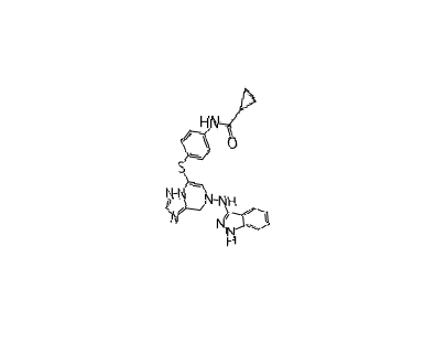 O=C(Nc1ccc(SC2=CN(Nc3n[nH]c4ccccc34)Cc3ncnn32)cc1)C1CC1